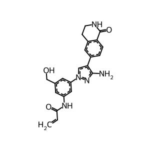 C=CC(=O)Nc1cc(CO)cc(-n2cc(-c3ccc4c(c3)CCNC4=O)c(N)n2)c1